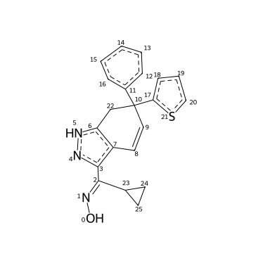 O/N=C(/c1n[nH]c2c1C=CC(c1ccccc1)(c1cccs1)C2)C1CC1